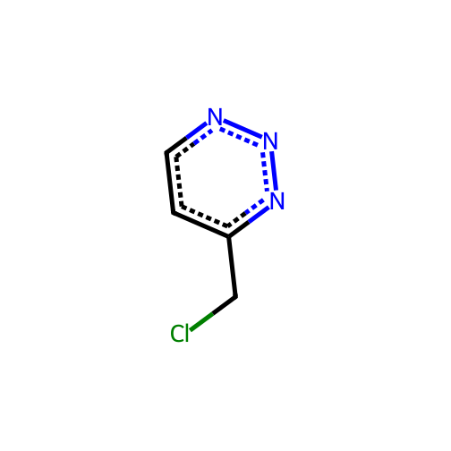 ClCc1ccnnn1